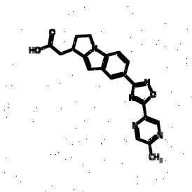 Cc1cnc(-c2nc(-c3ccc4c(c3)cc3n4CCC3CC(=O)O)no2)cn1